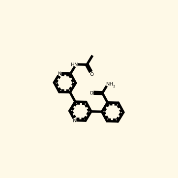 CC(=O)Nc1cc(-c2cncc(-c3ccccc3C(N)=O)c2)ccn1